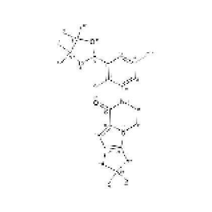 Cc1c(B2OC(C)(C)C(C)(C)O2)cc(F)cc1N1CCn2c(cc3c2CC(C)(C)C3)C1=O